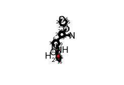 N#Cc1cc(-c2ccnc(NC(=O)C3C4CC3C4N)c2)ccc1OC1CCOCC1